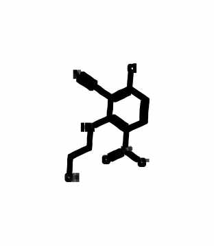 N#Cc1c(Cl)ccc([N+](=O)[O-])c1NCCO